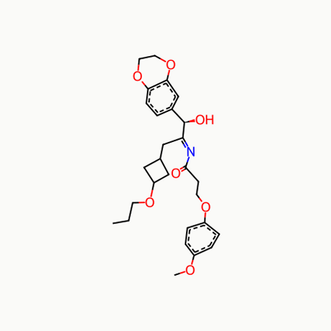 CCCOC1CC(C/C(=N\C(=O)CCOc2ccc(OC)cc2)[C@H](O)c2ccc3c(c2)OCCO3)C1